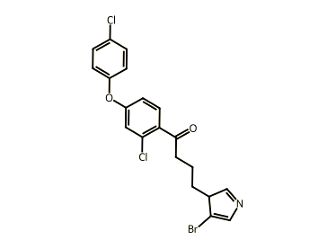 O=C(CCCC1C=NC=C1Br)c1ccc(Oc2ccc(Cl)cc2)cc1Cl